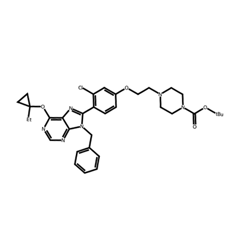 CCC1(Oc2ncnc3c2nc(-c2ccc(OCCN4CCN(C(=O)OC(C)(C)C)CC4)cc2Cl)n3Cc2ccccc2)CC1